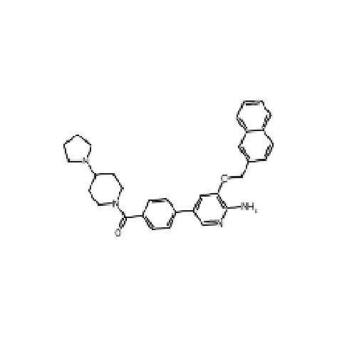 Nc1ncc(-c2ccc(C(=O)N3CCC(N4CCCC4)CC3)cc2)cc1OCc1ccc2ccccc2c1